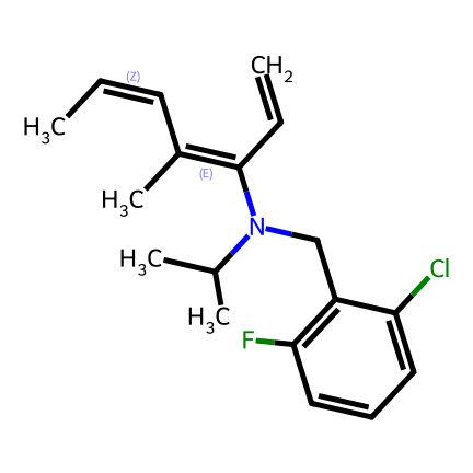 C=C/C(=C(C)\C=C/C)N(Cc1c(F)cccc1Cl)C(C)C